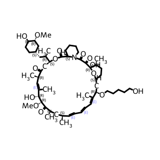 CO[C@@H]1C[C@H](C[C@@H](C)[C@@H]2CC(=O)[C@H](C)/C=C(\C)[C@@H](O)[C@@H](OC)C(=O)[C@H](C)C[C@H](C)/C=C/C=C/C=C(\C)[C@H](OCCCCCO)C[C@@H]3CC[C@@H](C)[C@@](O)(O3)C(=O)C(=O)N3CCCC[C@H]3C(=O)O2)CC[C@H]1O